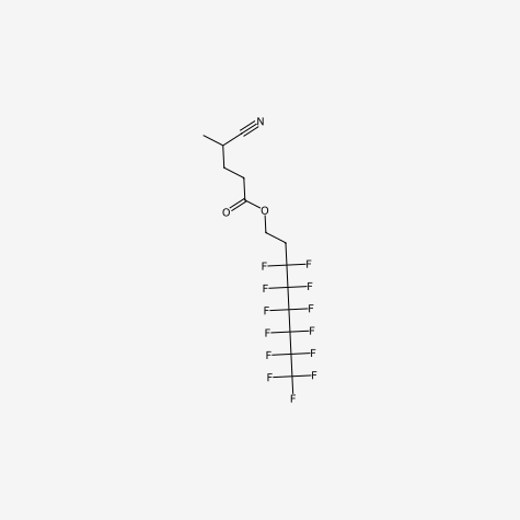 CC(C#N)CCC(=O)OCCC(F)(F)C(F)(F)C(F)(F)C(F)(F)C(F)(F)C(F)(F)F